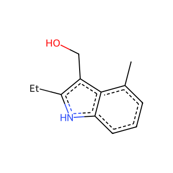 CCc1[nH]c2cccc(C)c2c1CO